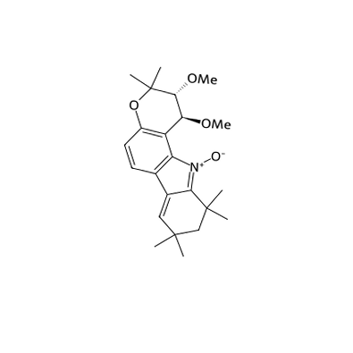 CO[C@@H]1[C@@H](OC)c2c(ccc3c2[N+]([O-])=C2C3=CC(C)(C)CC2(C)C)OC1(C)C